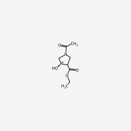 CCOC(=O)C1CN(C(C)=O)C[C@@H]1O